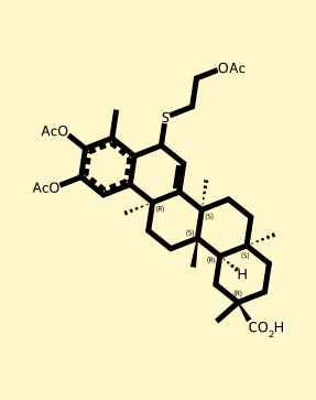 CC(=O)OCCSC1C=C2[C@@](C)(CC[C@@]3(C)[C@@H]4C[C@](C)(C(=O)O)CC[C@]4(C)CC[C@]23C)c2cc(OC(C)=O)c(OC(C)=O)c(C)c21